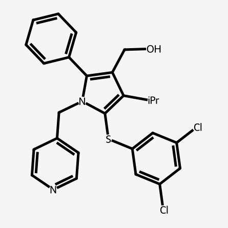 CC(C)c1c(CO)c(-c2ccccc2)n(Cc2ccncc2)c1Sc1cc(Cl)cc(Cl)c1